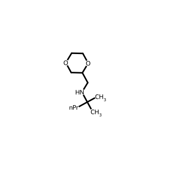 CCCC(C)(C)NCC1COCCO1